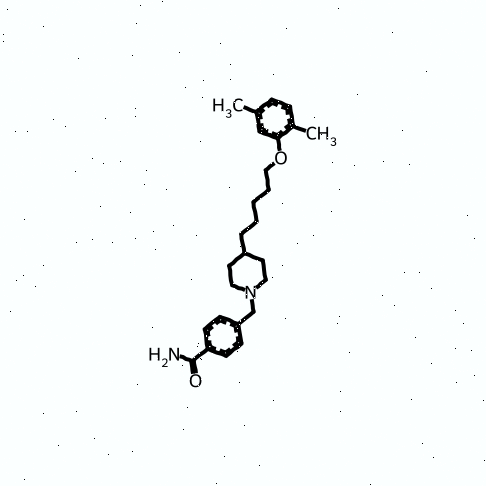 Cc1ccc(C)c(OCCCCCC2CCN(Cc3ccc(C(N)=O)cc3)CC2)c1